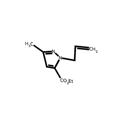 C=CCn1nc(C)cc1C(=O)OCC